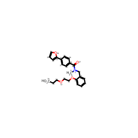 CN(Cc1ccccc1OCCOCCC(=O)O)C(=O)c1ccc(-c2ccco2)cc1